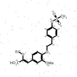 CCO/C(=C\c1ccc(OCCc2ccc(OS(C)(=O)=O)cc2)c(OC)c1)C(=O)O